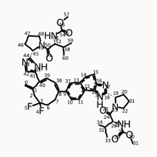 C=C1CC(F)(F)CC/C(c2ccc3c(ccc4nc([C@@H]5CCCN5C(=O)[C@@H](NC(=O)OC)C(C)C)[nH]c43)c2)=C\C=C/1c1cnc([C@@H]2CCCN2C(=O)[C@H](NC(=O)OC)C(C)C)[nH]1